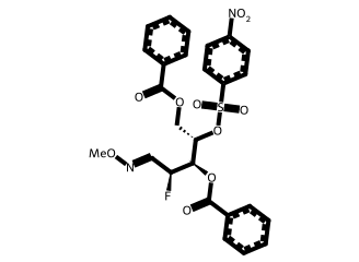 CON=C[C@H](F)[C@H](OC(=O)c1ccccc1)[C@H](COC(=O)c1ccccc1)OS(=O)(=O)c1ccc([N+](=O)[O-])cc1